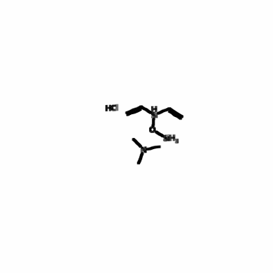 C=C[SiH](C=C)O[SiH3].CN(C)C.Cl